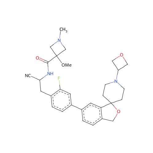 COC1(C(=O)NC(C#N)Cc2ccc(-c3ccc4c(c3)C3(CCN(C5COC5)CC3)OC4)cc2F)CN(C)C1